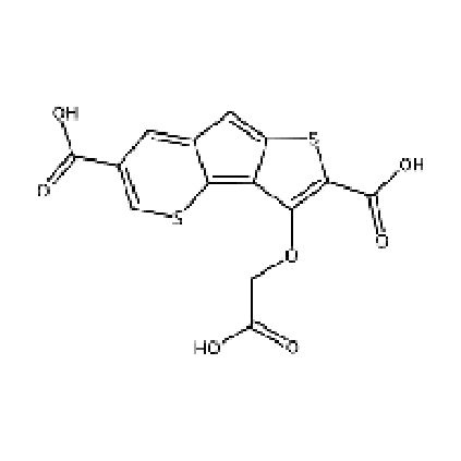 O=C(O)COc1c(C(=O)O)sc2cc3cc(C(=O)O)csc-3c12